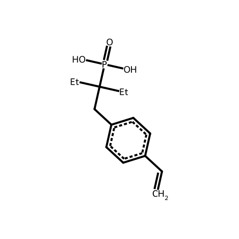 C=Cc1ccc(CC(CC)(CC)P(=O)(O)O)cc1